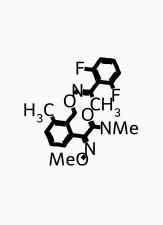 CNC(=O)/C(=N/OC)c1cccc(C)c1CO/N=C(\C)c1c(F)cccc1F